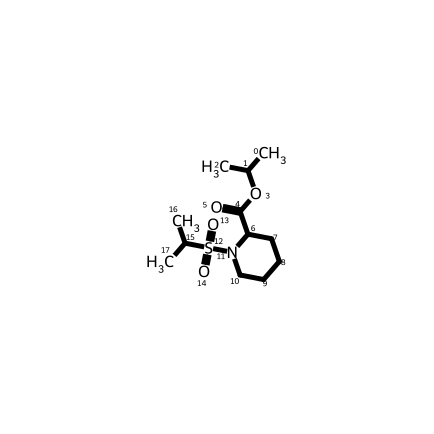 CC(C)OC(=O)C1CCCCN1S(=O)(=O)C(C)C